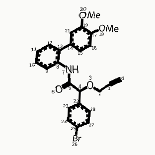 C#CCOC(C(=O)Nc1ccccc1-c1ccc(OC)c(OC)c1)c1ccc(Br)cc1